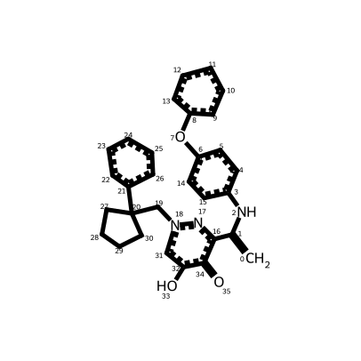 C=C(Nc1ccc(Oc2ccccc2)cc1)c1nn(CC2(c3ccccc3)CCCC2)cc(O)c1=O